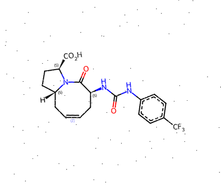 O=C(Nc1ccc(C(F)(F)F)cc1)N[C@H]1C/C=C\C[C@@H]2CC[C@@H](C(=O)O)N2C1=O